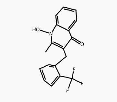 Cc1c(Cc2ccccc2C(F)(F)F)c(=O)c2ccccc2n1O